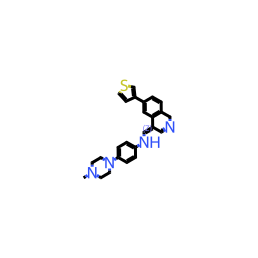 CN1CCN(c2ccc(N/C=C3\C=NCc4ccc(-c5ccsc5)cc43)cc2)CC1